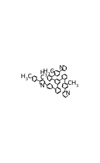 Cc1ccc(-c2cnc(-c3ccc(-c4ccccc4-c4cc(-c5ccccc5-c5ccc(-c6ccccn6)cc5C)cc(-c5ccccc5-c5ccc(-c6ccccn6)cc5C)c4)cc3)cc2C)cc1